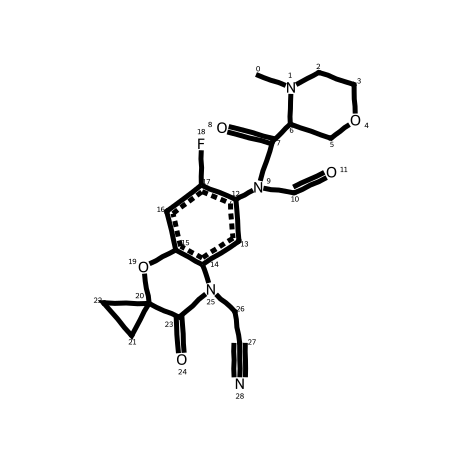 CN1CCOCC1C(=O)N(C=O)c1cc2c(cc1F)OC1(CC1)C(=O)N2CC#N